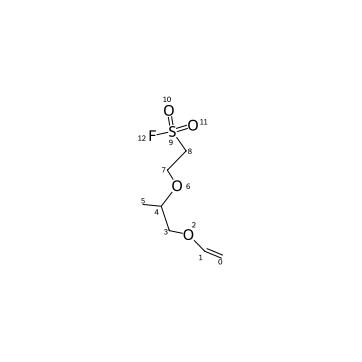 C=COCC(C)OCCS(=O)(=O)F